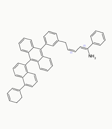 N/C(=C\C=C/Cc1cccc(-c2c3ccccc3c(-c3cccc4c(C5=CC=CCC5)cccc34)c3ccccc23)c1)c1ccccc1